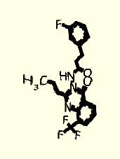 CCCc1nc2c(C(F)(F)F)cccc2c(=O)n1NC(=O)CCc1cccc(F)c1